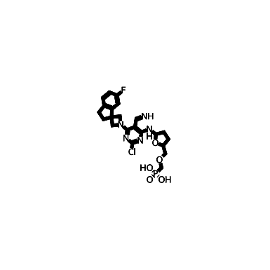 N=Cc1c(NC2CCC(COCP(=O)(O)O)O2)nc(Cl)nc1N1CC2(CCc3ccc(F)cc32)C1